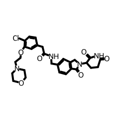 O=C(Cc1ccc(Cl)c(OCCN2CCOCC2)c1)NCc1ccc2c(c1)CN(C1CCC(=O)NC1=O)C2=O